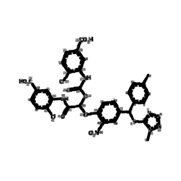 Cc1ccc(C(Sc2nnnn2C)c2ccc(OC(OC(=O)Nc3cc(C(=O)O)ccc3Cl)C(=O)Nc3cc(C(=O)O)ccc3Cl)c([N+](=O)[O-])c2)cc1